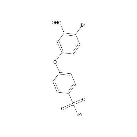 CC(C)S(=O)(=O)c1ccc(Oc2ccc(Br)c(C=O)c2)cc1